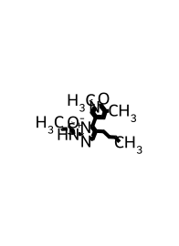 CCCCc1cnc(N[S+]([O-])CC)nc1-c1cc(C)c(=O)n(C)c1